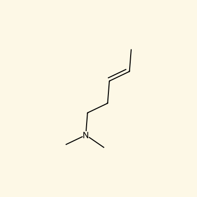 C/C=C/CCN(C)C